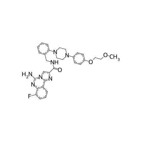 COCCOc1ccc(N2CCN(c3ccccc3CNC(=O)c3cn4c(N)nc5c(F)cccc5c4n3)CC2)cc1